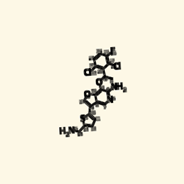 C[C@@H](Oc1c(N)ncc2c(-c3ccc(CN)s3)coc12)c1c(Cl)ccc(F)c1Cl